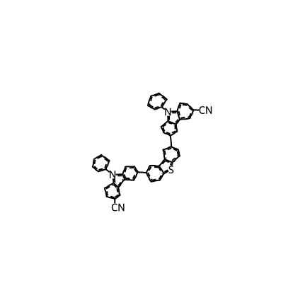 N#Cc1ccc2c(c1)c1cc(-c3ccc4sc5ccc(-c6ccc7c(c6)c6cc(C#N)ccc6n7-c6ccccc6)cc5c4c3)ccc1n2-c1ccccc1